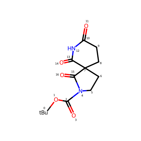 CC(C)(C)OC(=O)N1CCC2(CCC(=O)NC2=O)C1=O